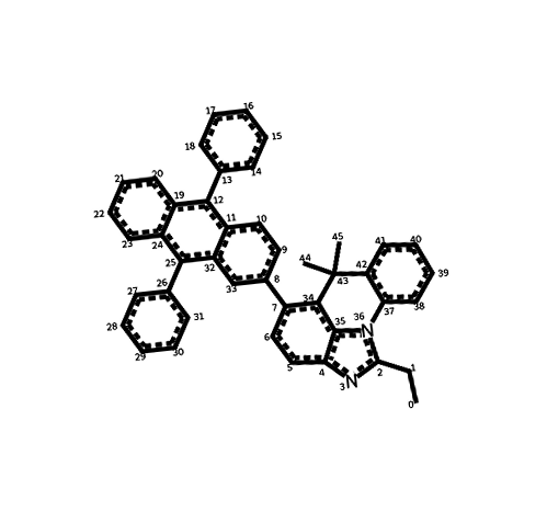 CCc1nc2ccc(-c3ccc4c(-c5ccccc5)c5ccccc5c(-c5ccccc5)c4c3)c3c2n1-c1ccccc1C3(C)C